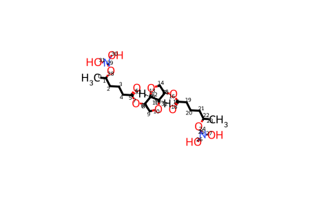 CC(CCCC(=O)O[C@@H]1CO[C@H]2[C@@H]1OC[C@H]2OC(=O)CCCC(C)ON(O)O)ON(O)O